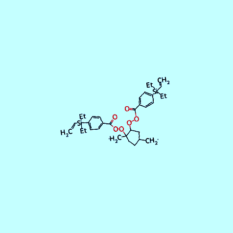 [CH2]C1CCC([CH2])(OOC(=O)c2ccc([Si](C=C)(CC)CC)cc2)C(OOC(=O)c2ccc([Si](C=C)(CC)CC)cc2)C1